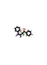 C/C(=C(\I)c1ccccc1)C(F)(F)C(=O)c1ccccc1